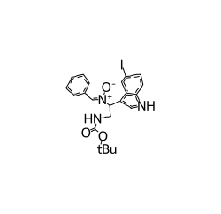 CC(C)(C)OC(=O)NCC(c1c[nH]c2ccc(I)cc12)[N+]([O-])=Cc1ccccc1